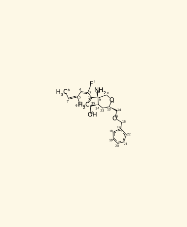 C=C(/C(F)=C\C(F)=C/C)[C@]1(N)CO[C@@H](COCc2ccccc2)C[C@H]1CO